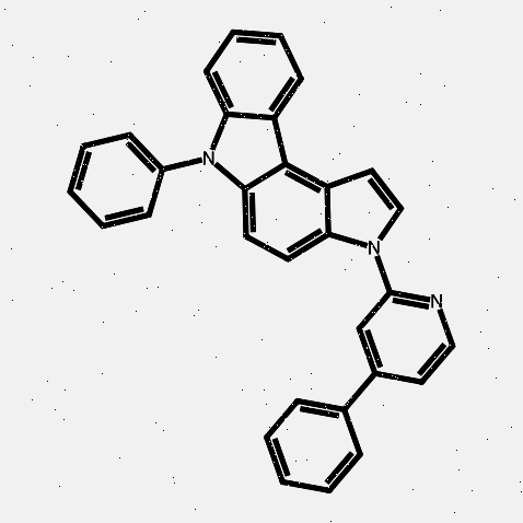 c1ccc(-c2ccnc(-n3ccc4c5c6ccccc6n(-c6ccccc6)c5ccc43)c2)cc1